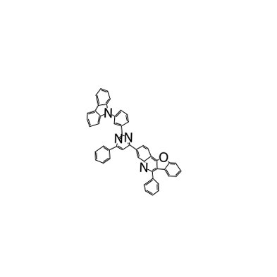 c1ccc(-c2cc(-c3ccc4c(c3)nc(-c3ccccc3)c3c5ccccc5oc43)nc(-c3cccc(-n4c5ccccc5c5ccccc54)c3)n2)cc1